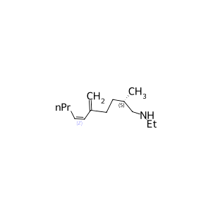 C=C(/C=C\CCC)CC[C@H](C)CNCC